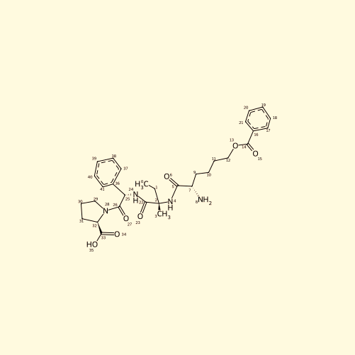 CC[C@](C)(NC(=O)[C@@H](N)CCCCOC(=O)c1ccccc1)C(=O)N[C@H](C(=O)N1CCC[C@@H]1C(=O)O)c1ccccc1